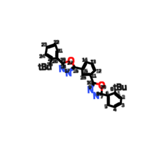 CC(C)(C)c1ccccc1-c1nnc(-c2cccc(-c3nnc(-c4ccccc4C(C)(C)C)o3)c2)o1